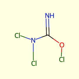 N=C(OCl)N(Cl)Cl